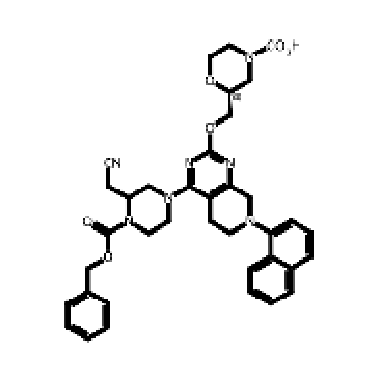 N#CCC1CN(c2nc(OC[C@@H]3CN(C(=O)O)CCO3)nc3c2CCN(c2cccc4ccccc24)C3)CCN1C(=O)OCc1ccccc1